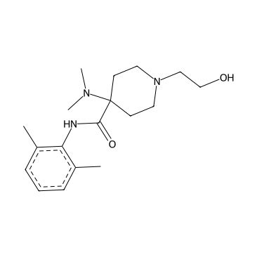 Cc1cccc(C)c1NC(=O)C1(N(C)C)CCN(CCO)CC1